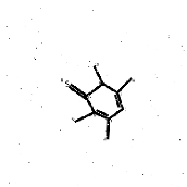 CC1=CC(C)=C(C)C(=S)C1C